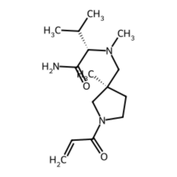 C=CC(=O)N1CC[C@](C)(CN(C)[C@H](C(N)=O)C(C)C)C1